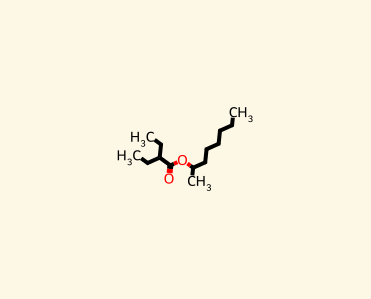 CCCCCCC(C)OC(=O)C(CC)CC